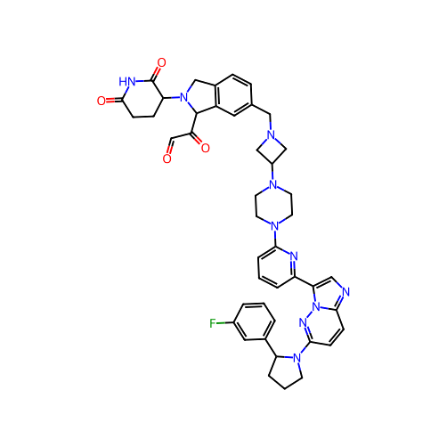 O=CC(=O)C1c2cc(CN3CC(N4CCN(c5cccc(-c6cnc7ccc(N8CCCC8c8cccc(F)c8)nn67)n5)CC4)C3)ccc2CN1C1CCC(=O)NC1=O